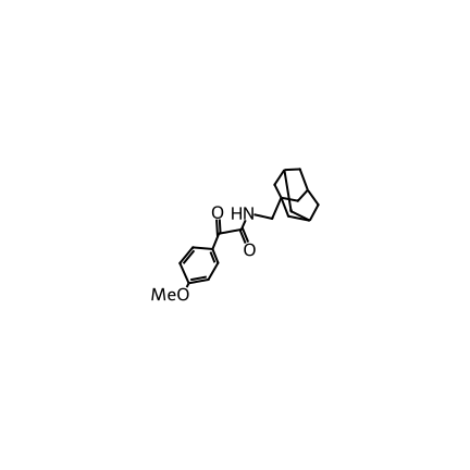 COc1ccc(C(=O)C(=O)NCC23CC4CC(CC(C4)C2)C3)cc1